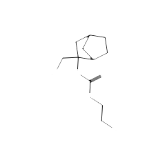 CCC1(OC(=O)NCCS)CC2CCC1C2